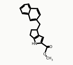 COC(=O)c1cc2c([nH]1)CCC2Cc1ccc2ccccc2c1